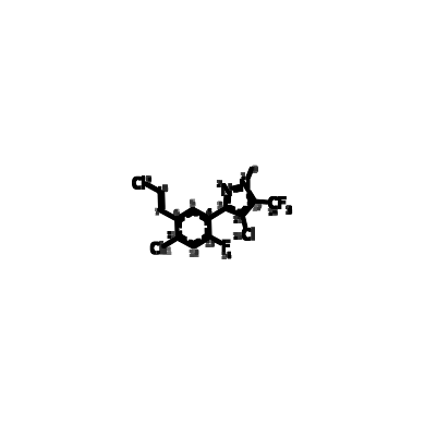 Cn1nc(-c2cc(C=[C]Cl)c(Cl)cc2F)c(Cl)c1C(F)(F)F